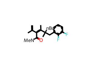 C=C(C)/C(C(=O)NC)=C(\C)C(C)(CCCC)Cc1cccc(F)c1F